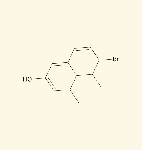 CC1C=C(O)C=C2C=CC(Br)C(C)C21